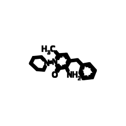 Cc1cc(Cc2ccccc2)c(N)c(=O)n1N1CCCCC1